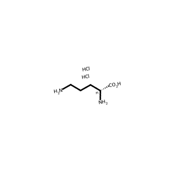 Cl.Cl.NCCC[C@@H](N)C(=O)O